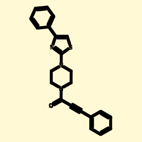 O=C(C#Cc1ccccc1)N1CCN(c2nc(-c3ccccc3)cs2)CC1